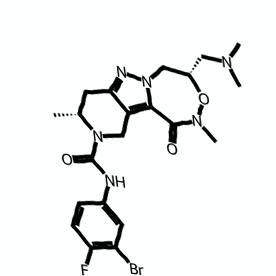 C[C@@H]1Cc2nn3c(c2CN1C(=O)Nc1ccc(F)c(Br)c1)C(=O)N(C)O[C@@H](CN(C)C)C3